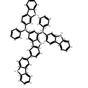 c1ccc(N(c2ccc3c(c2)sc2ccccc23)c2cc(N(c3ccccc3)c3ccc4c(c3)sc3ccccc34)c3sc4ccc(-c5ccc6sc7ccccc7c6c5)cc4c3c2)cc1